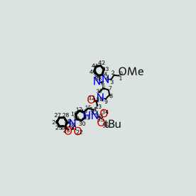 COCCCn1c([C@@H]2CCCN(C(=O)C[C@@H](Cc3ccc(-n4c(=O)oc5ccccc54)cc3)NC(=O)OC(C)(C)C)C2)nc2ccccc21